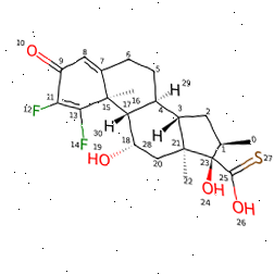 C[C@@H]1C[C@H]2[C@@H]3CCC4=CC(=O)C(F)=C(F)[C@]4(C)[C@H]3[C@@H](O)C[C@]2(C)[C@@]1(O)C(O)=S